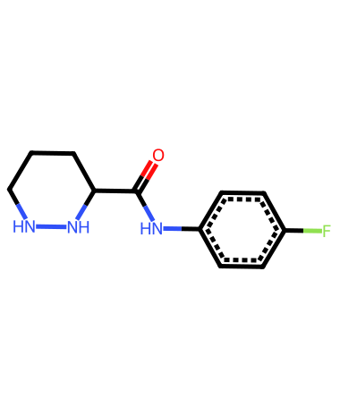 O=C(Nc1ccc(F)cc1)C1CCCNN1